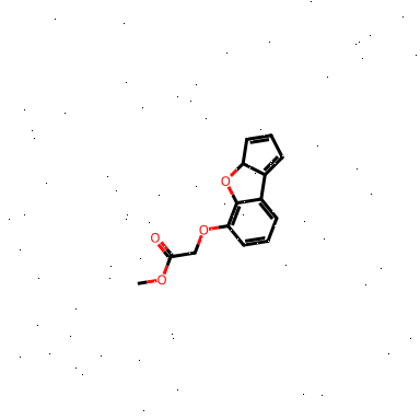 COC(=O)COc1cccc2c1OC1C=CC=C21